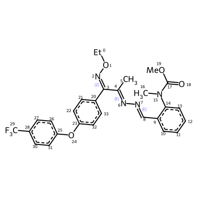 CCO\N=C(/C(C)=N/N=C/c1ccccc1N(C)C(=O)OC)c1ccc(Oc2ccc(C(F)(F)F)cc2)cc1